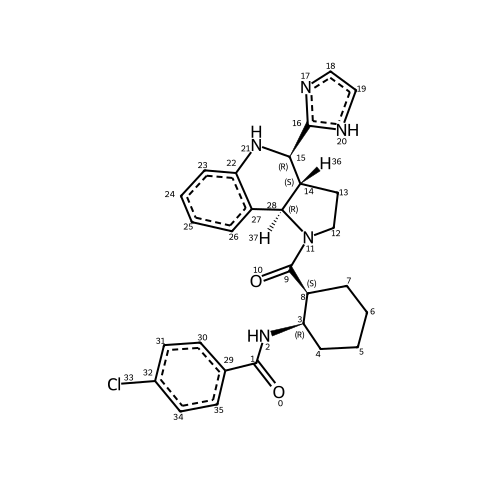 O=C(N[C@@H]1CCCC[C@@H]1C(=O)N1CC[C@H]2[C@H](c3ncc[nH]3)Nc3ccccc3[C@@H]21)c1ccc(Cl)cc1